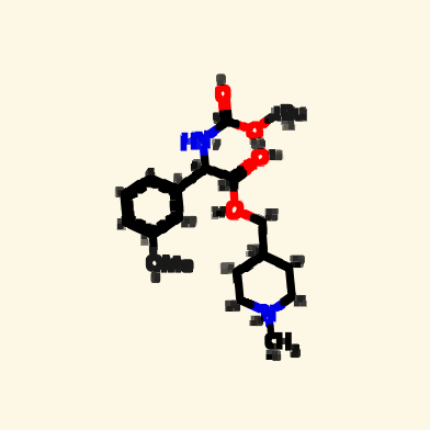 COc1cccc(C(NC(=O)OC(C)(C)C)C(=O)OCC2CCN(C)CC2)c1